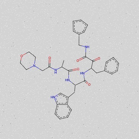 CC(NC(=O)CN1CCOCC1)C(=O)NC(Cc1c[nH]c2ccccc12)C(=O)NC(Cc1ccccc1)C(=O)C(=O)NCc1ccccc1